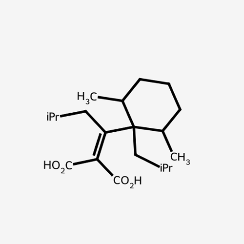 CC(C)CC(=C(C(=O)O)C(=O)O)C1(CC(C)C)C(C)CCCC1C